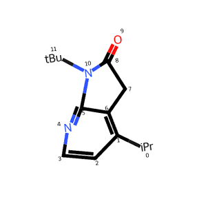 CC(C)c1ccnc2c1CC(=O)N2C(C)(C)C